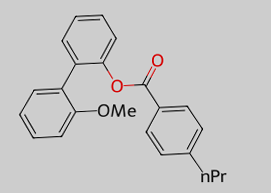 CCCc1ccc(C(=O)Oc2ccccc2-c2ccccc2OC)cc1